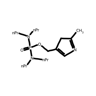 CCCN(CCC)P(=O)(OCC1=CN=C(C)C1)N(CCC)CCC